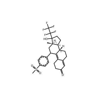 C[C@]12CC(c3ccc(S(C)(=O)=O)cc3)C3=C4CCC(=O)C=C4CC[C@H]3[C@@H]1CCC2(O)C(F)(F)C(F)(F)F